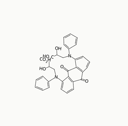 O=C1c2cccc(N(CC(O)C(=O)O)c3ccccc3)c2C(=O)c2c1cccc2N(CC(O)C(=O)O)c1ccccc1